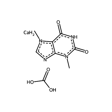 Cn1cnc2c1c(=O)[nH]c(=O)n2C.O=C(O)O.[CaH2]